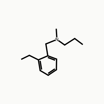 CCCN(C)Cc1ccccc1CC